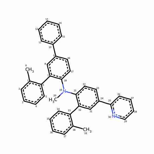 Cc1ccccc1-c1cc(-c2ccccc2)ccc1N(C)c1ccc(-c2ccccn2)cc1-c1ccccc1C